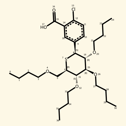 CCCCOC[C@H]1S[C@@H](c2ccc(Cl)c(C(=O)O)c2)[C@H](OCCCC)[C@@H](OCCCC)[C@@H]1OCCCC